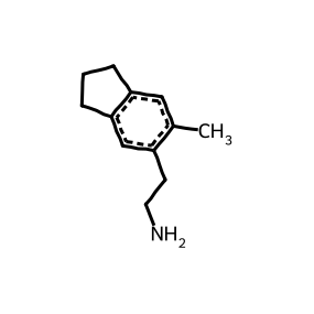 Cc1cc2c(cc1CCN)CCC2